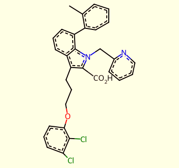 Cc1ccccc1-c1cccc2c(CCCOc3cccc(Cl)c3Cl)c(C(=O)O)n(Cc3ccccn3)c12